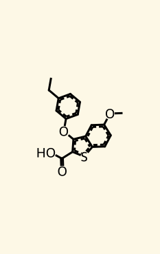 CCc1cccc(Oc2c(C(=O)O)sc3ccc(OC)cc23)c1